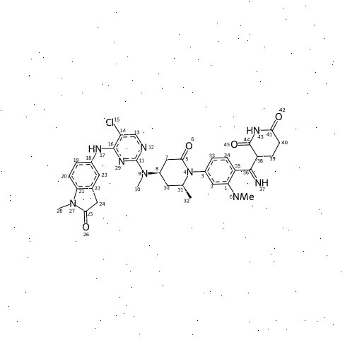 CNc1cc(N2C(=O)C[C@H](N(C)c3ncc(Cl)c(Nc4ccc5c(c4)CC(=O)N5C)n3)C[C@@H]2C)ccc1C(=N)C1CCC(=O)NC1=O